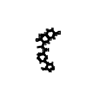 CC(Nc1nccc(-c2cnnn2C)n1)c1cc2cc(Cl)ccc2[nH]c1=O